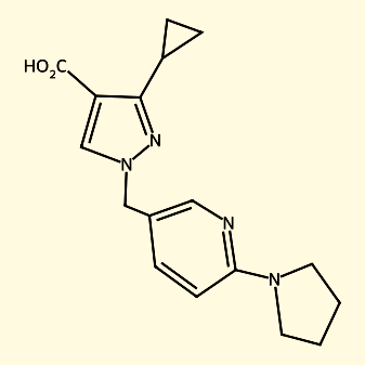 O=C(O)c1cn(Cc2ccc(N3CCCC3)nc2)nc1C1CC1